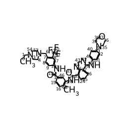 CCN1CCN(Cc2ccc(NC(=O)c3ccc(C)c(NC(=O)c4cccc5c(Nc6ccc(N7CCOCC7)cc6)ncnc45)c3)cc2C(F)(F)F)CC1